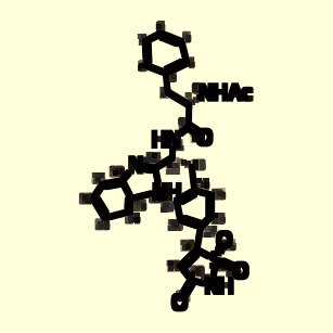 CC(=O)N[C@@H](Cc1ccccc1)C(=O)N[C@H](Cc1ccc(C2=CC(=O)NS2(=O)=O)cc1)c1nc2ccccc2[nH]1